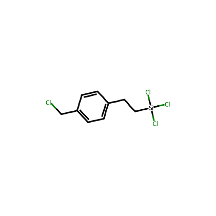 ClCc1ccc(CC[Si](Cl)(Cl)Cl)cc1